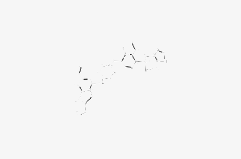 C=Cc1nc(NC2CCN(Cc3ccc(N(CC#N)Cc4cn[nH]c4)c(C=C)c3C)CC2)c2cc(CC(F)(F)F)sc2n1